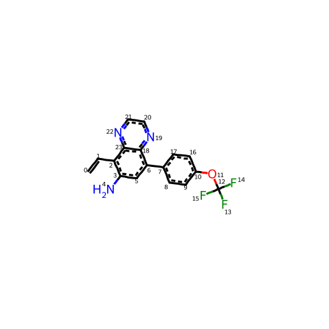 C=Cc1c(N)cc(-c2ccc(OC(F)(F)F)cc2)c2nccnc12